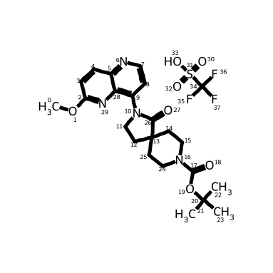 COc1ccc2nccc(N3CCC4(CCN(C(=O)OC(C)(C)C)CC4)C3=O)c2n1.O=S(=O)(O)C(F)(F)F